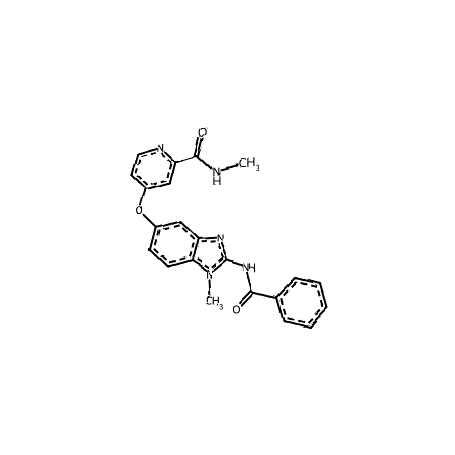 CNC(=O)c1cc(Oc2ccc3c(c2)nc(NC(=O)c2ccccc2)n3C)ccn1